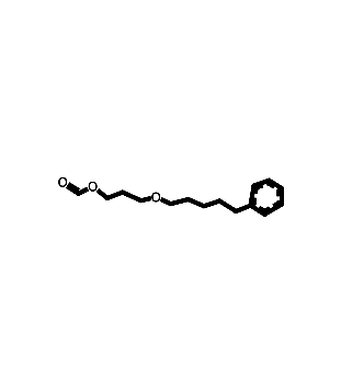 O=COCCCOCCCCCc1ccccc1